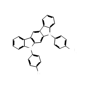 Bc1ccc(-n2c3ccccc3c3cc4c5ccccc5n(-c5ccc(Br)cc5)c4cc32)cc1